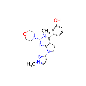 CN1C(c2cccc(O)c2)=C2CCN(c3ccn(C)n3)C2=NC1N1CCOCC1